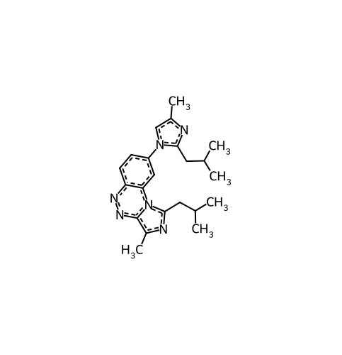 Cc1cn(-c2ccc3nnc4c(C)nc(CC(C)C)n4c3c2)c(CC(C)C)n1